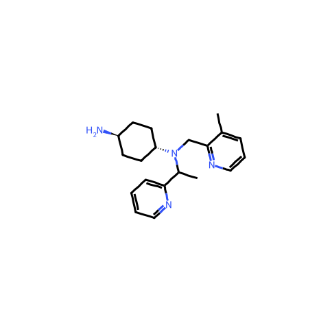 Cc1cccnc1CN(C(C)c1ccccn1)[C@H]1CC[C@H](N)CC1